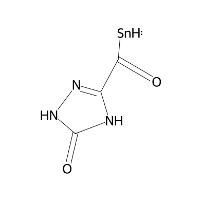 O=[C]([SnH])c1n[nH]c(=O)[nH]1